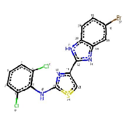 Clc1cccc(Cl)c1Nc1nc(-c2nc3cc(Br)ccc3[nH]2)cs1